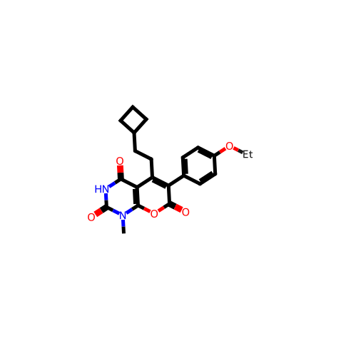 CCOc1ccc(-c2c(CCC3CCC3)c3c(=O)[nH]c(=O)n(C)c3oc2=O)cc1